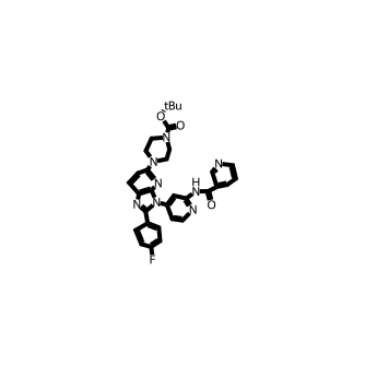 CC(C)(C)OC(=O)N1CCN(c2ccc3nc(-c4ccc(F)cc4)n(-c4ccnc(NC(=O)c5cccnc5)c4)c3n2)CC1